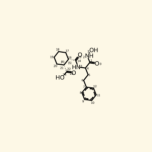 O=C(NO)C(CCc1ccccc1)NC(=O)[C@H]1CCCC[C@H]1C(=O)O